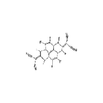 N#CC(C#N)=C1C(F)C2C(F)=C(F)C3C4=C2C(C(F)=C(F)C4C(F)C(=C(C#N)C#N)C3F)C1F